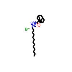 CCCCCCCCCCCCC[N+](C)(C)NC(=O)C12CC3CC(CC(C3)C1)C2.[Br-]